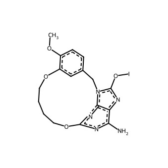 COc1ccc2cc1OCCCCOc1nc(N)c3nc(OI)n(c3n1)C2